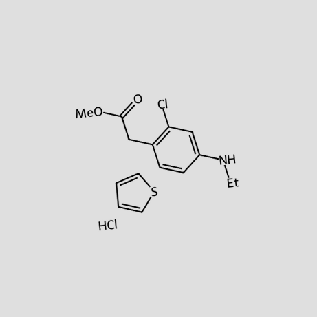 CCNc1ccc(CC(=O)OC)c(Cl)c1.Cl.c1ccsc1